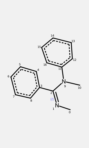 C/N=C(/c1ccccc1)N(C)c1ccccc1